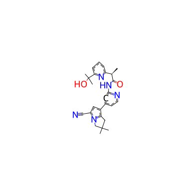 C[C@@H](C(=O)Nc1cc(-c2cc(C#N)n3c2CC(C)(C)C3)ccn1)c1cccc(C(C)(C)O)n1